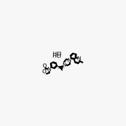 Cc1ccc2c(N3CCN([C@@H]4C[C@H]4c4cccc(N5CCOC5=O)c4)CC3)cccc2n1.Cl.Cl